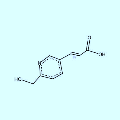 O=C(O)/C=C/c1ccc(CO)nc1